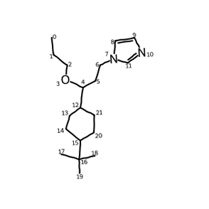 CCCOC(CCn1ccnc1)C1CCC(C(C)(C)C)CC1